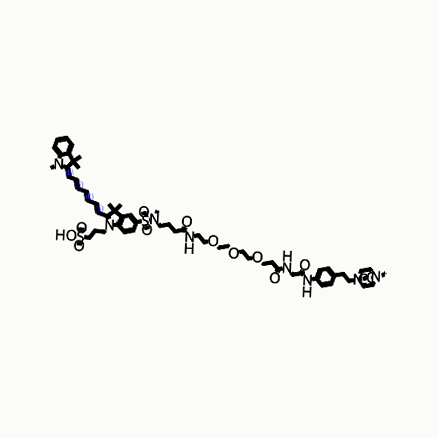 CN1/C(=C/C=C/C=C/C=C/C2=[N+](CCCS(=O)(=O)O)c3ccc(S(=O)(=O)N(C)CCCC(=O)NCCOCCOCCOCCC(=O)NCC(=O)Nc4ccc(CC[N+]56CC[N+](C)(CC5)CC6)cc4)cc3C2(C)C)C(C)(C)c2ccccc21